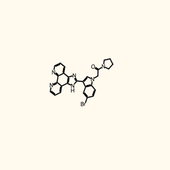 O=C(Cn1cc(-c2nc3c4cccnc4c4ncccc4c3[nH]2)c2cc(Br)ccc21)N1CCCC1